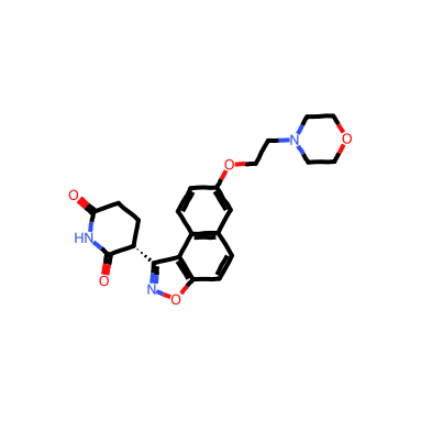 O=C1CC[C@H](c2noc3ccc4cc(OCCN5CCOCC5)ccc4c23)C(=O)N1